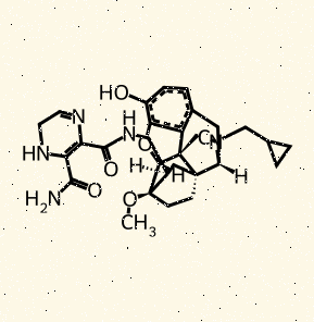 CO[C@]12CC[C@@]3(C[C@@H]1CNC(=O)C1=C(C(N)=O)NCC=N1)[C@H]1Cc4ccc(O)c5c4[C@@]3(CCN1CC1CC1)[C@H]2O5